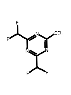 FC(F)c1nc(C(F)F)nc(C(Cl)(Cl)Cl)n1